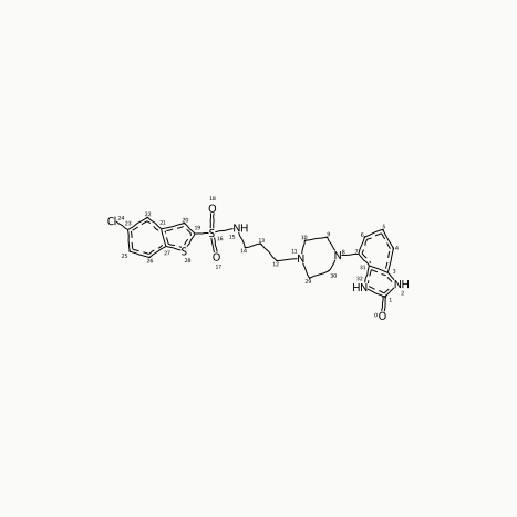 O=c1[nH]c2cccc(N3CCN(CCCNS(=O)(=O)c4cc5cc(Cl)ccc5s4)CC3)c2[nH]1